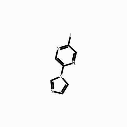 Ic1cnc(-n2ccnc2)cn1